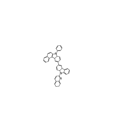 C1=CC2C(C=C1C1=CC3c4ccccc4N(c4ccc5c(n4)=CCCC=5)C3C=C1)c1c(ccc3ccccc13)N2c1ccccc1